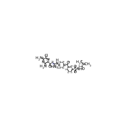 CN(C)C(=O)CNS(=O)(=O)c1cccc(C(=O)N2CCC3(CC2)CN/C(=C\C(=O)c2nc(Cl)c(N)nc2N)N3)c1